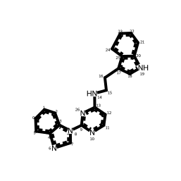 c1ccc2c(c1)ncn2-c1nccc(NCCc2c[nH]c3ccccc23)n1